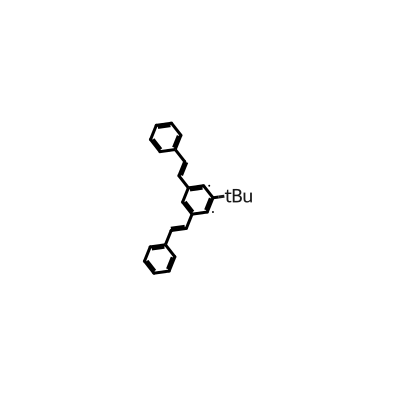 CC(C)(C)c1[c]c(C=Cc2ccccc2)cc(C=Cc2ccccc2)[c]1